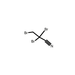 N#CC(Br)(Br)CBr